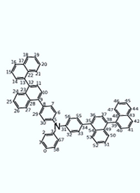 c1ccc(N(c2ccc(-c3ccc(-c4cccc5ccccc45)c4ccccc34)cc2)c2ccc(-c3ccc(-c4cccc5ccccc45)c4ccccc34)cc2)cc1